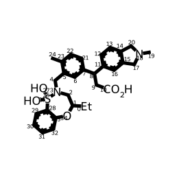 CCC1CN(Cc2cc(C(CC(=O)O)c3ccc4c(c3)CN(C)C4)ccc2C)S(O)(O)c2ccccc2O1